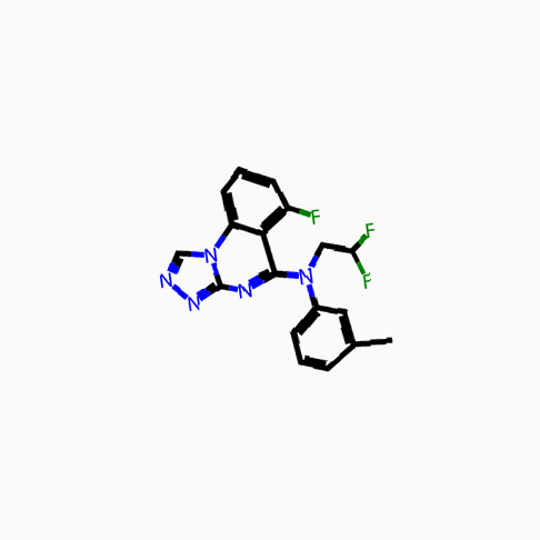 Cc1cccc(N(CC(F)F)c2nc3nncn3c3cccc(F)c23)c1